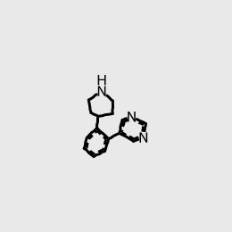 c1ccc(C2CCNCC2)c(-c2cncnc2)c1